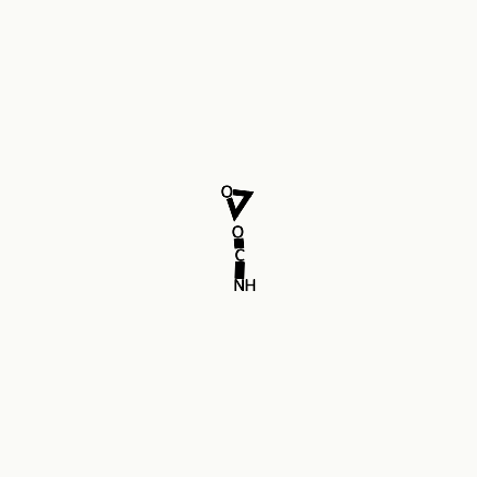 C1CO1.N=C=O